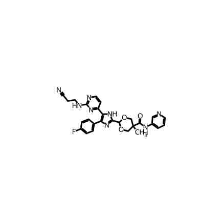 CC1(C(=O)Nc2cccnc2)COC(c2nc(-c3ccc(F)cc3)c(-c3ccnc(NCCC#N)n3)[nH]2)OC1